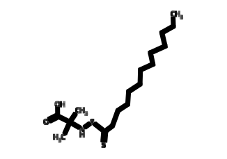 CCCCCCCCCCCCC(=S)SNC(C)(C)C(=O)O